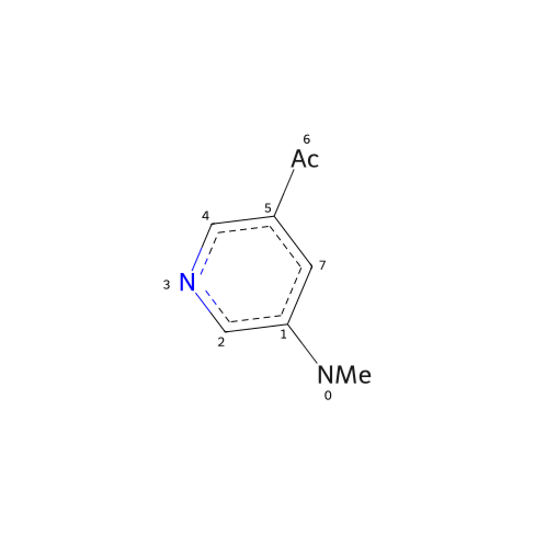 CNc1cncc(C(C)=O)c1